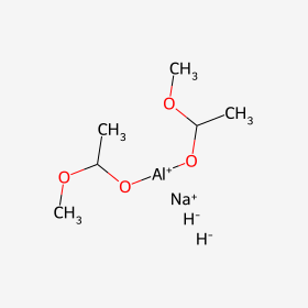 COC(C)[O][Al+][O]C(C)OC.[H-].[H-].[Na+]